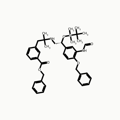 CC(C)(Cc1cccc(C(=O)OCc2ccccc2)c1)NC[C@H](O[Si](C)(C)C(C)(C)C)c1ccc(OCc2ccccc2)c(NC=O)c1